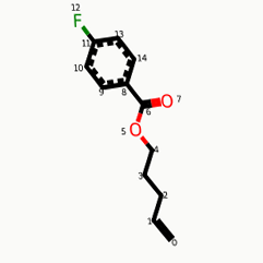 C=CCCCOC(=O)c1ccc(F)cc1